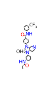 C=CC(=O)Nc1cccc(N(C=O)c2ccncc2N(C)c2ccc(C(=O)Nc3cccc(C(F)(F)F)c3)cc2)c1